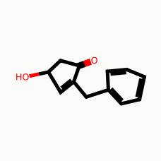 O=C1CC(O)C=C1Cc1ccccc1